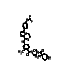 Cc1cc(Nc2nccn3c(-c4ccc(OC(F)F)cc4)cnc23)ccc1C(=O)N1CCN(C(=O)C2(N)CCNCC2)CC1